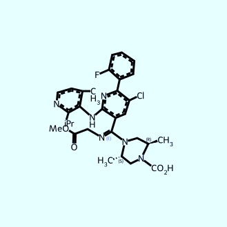 COC(=O)C/N=C(\c1cc(Cl)c(-c2ccccc2F)nc1Nc1c(C)ccnc1C(C)C)N1C[C@@H](C)N(C(=O)O)C[C@@H]1C